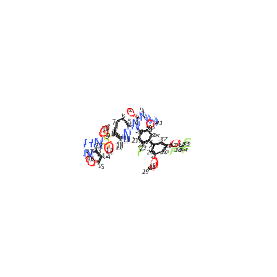 CNC(=O)N(c1ccc(S(=O)(=O)Nc2ccon2)cn1)c1cc(F)c(-c2cc(OC)cc(OC(F)(F)F)c2)cc1OC